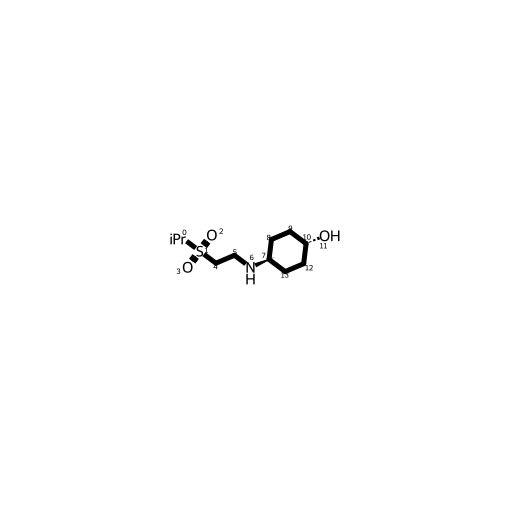 CC(C)S(=O)(=O)CCN[C@H]1CC[C@H](O)CC1